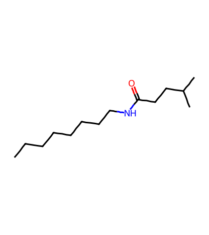 CCCCCCCCNC(=O)CCC(C)C